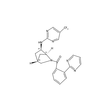 O=C(c1ccccc1-c1ncccn1)N1C[C@@H]2C[C@@H](Nc3ncc(C(F)(F)F)cn3)[C@@H]1C2